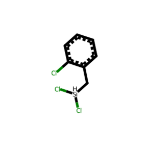 Clc1ccccc1C[SiH](Cl)Cl